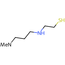 CNCCCNCCS